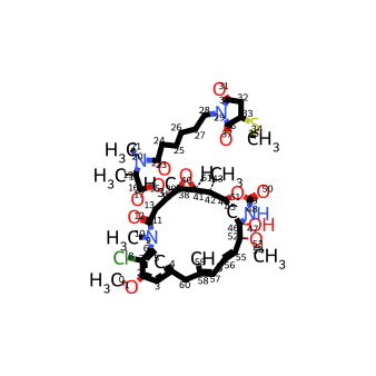 COc1cc2cc(c1Cl)N(C)C(=O)C[C@H](OC(=O)[C@H](C)N(C)C(=O)CCCCCN1C(=O)CC(SC)C1=O)C1(C)O[C@H]1[C@H](C)C1C[C@@](O)(NC(=O)O1)[C@H](OC)/C=C/C=C(\C)C2